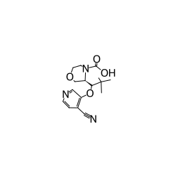 CC(C)(C)C(Oc1cnccc1C#N)[C@H]1COCCN1C(=O)O